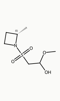 COC(O)CS(=O)(=O)N1CC[C@@H]1C